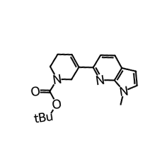 Cn1ccc2ccc(C3=CCCN(C(=O)OC(C)(C)C)C3)nc21